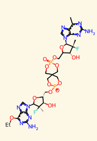 CCOc1nc(N)nc2c1ncn2C1O[C@H](COP2(=O)OCC3(COP(=O)(OCC4O[C@@H](n5cnc6c(C)nc(N)nc65)[C@](C)(F)[C@@H]4O)OC3)CO2)[C@@H](O)[C@@]1(C)F